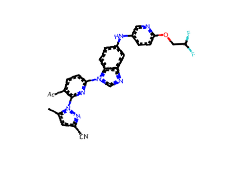 CC(=O)c1ccc(-n2cnc3cc(Nc4ccc(OCC(F)F)nc4)ccc32)nc1-n1nc(C#N)cc1C